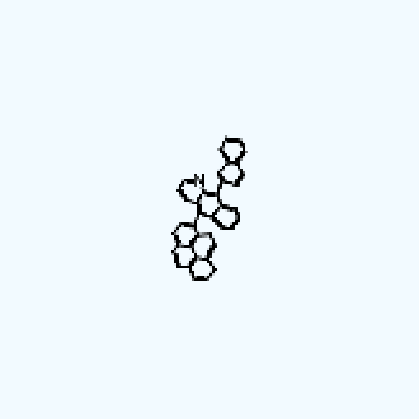 C1=Cc2ccc3ccc(-c4c5ccccc5c(-c5ccc6ccccc6c5)c5ncccc45)c4c3c2C(=CC4)C1